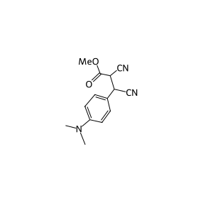 COC(=O)C(C#N)C(C#N)c1ccc(N(C)C)cc1